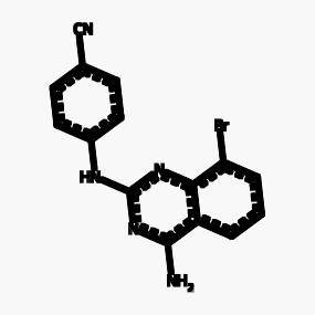 N#Cc1ccc(Nc2nc(N)c3cccc(Br)c3n2)cc1